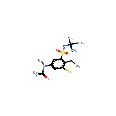 CCc1c(S)cc(N(C)C(C)=O)cc1S(=O)(=O)NC(C)(C)C